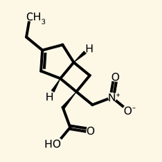 CCC1=C[C@@H]2[C@H](C1)C[C@]2(CC(=O)O)C[N+](=O)[O-]